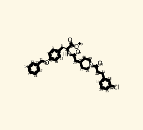 COC(=O)[C@H](Cc1ccc(OCc2ccccc2)cc1)NC(=O)CC1CCN(C(=O)CCc2cccc(Cl)c2)CC1